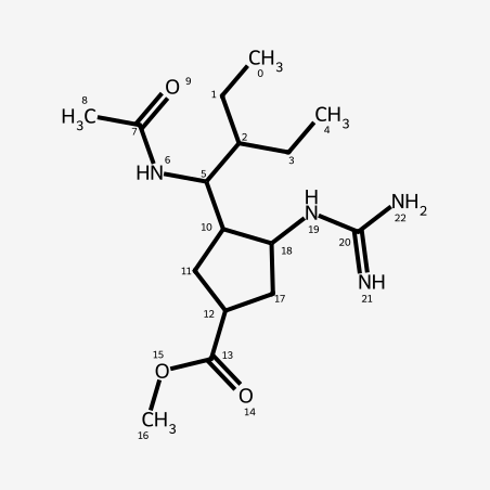 CCC(CC)C(NC(C)=O)C1CC(C(=O)OC)CC1NC(=N)N